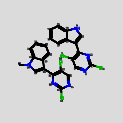 Clc1ncc(Cl)c(-c2c[nH]c3ccccc23)n1.Cn1cc(-c2nc(Cl)ncc2Cl)c2ccccc21